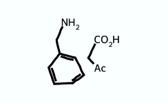 CC(=O)CC(=O)O.NCc1ccccc1